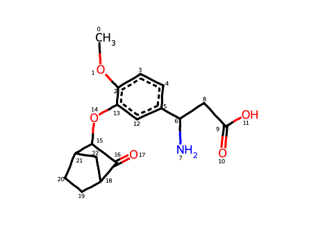 COc1ccc(C(N)CC(=O)O)cc1OC1C(=O)C2CCC1C2